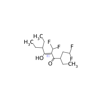 CCC(CC(F)F)C(=O)/C(=C(\O)C(CC)CC)C(F)F